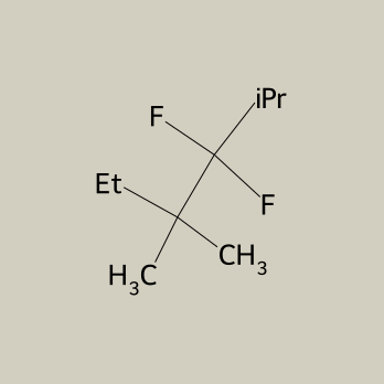 CCC(C)(C)C(F)(F)C(C)C